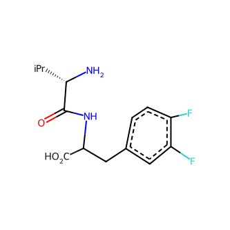 CC(C)[C@H](N)C(=O)NC(Cc1ccc(F)c(F)c1)C(=O)O